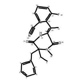 CCC1(Cc2ccccc2)C(=O)NC(=C(C)c2c(F)cccc2C#N)C(=O)N1C